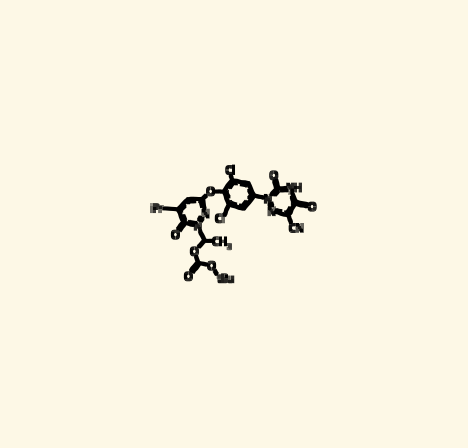 CC(C)c1cc(Oc2c(Cl)cc(-n3nc(C#N)c(=O)[nH]c3=O)cc2Cl)nn(C(C)OC(=O)OC(C)(C)C)c1=O